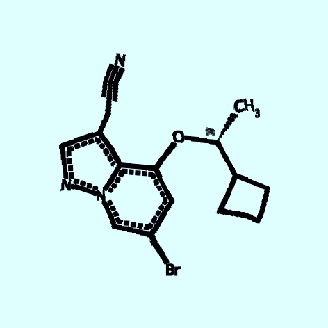 C[C@@H](Oc1cc(Br)cn2ncc(C#N)c12)C1CCC1